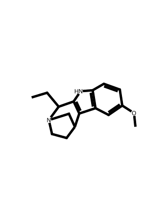 CCC1c2[nH]c3ccc(OC)cc3c2C2CCN1C2